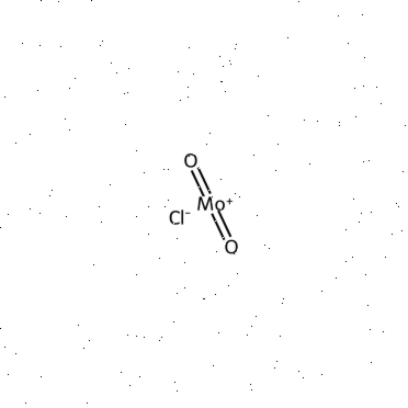 [Cl-].[O]=[Mo+]=[O]